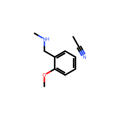 CC#N.CNCc1ccccc1OC